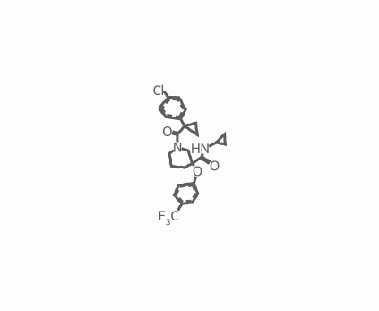 O=C(NC1CC1)C1(Oc2ccc(C(F)(F)F)cc2)CCCN(C(=O)C2(c3ccc(Cl)cc3)CC2)C1